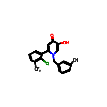 N#Cc1cccc(Cn2cc(O)c(=O)cc2-c2cccc(C(F)(F)F)c2Cl)c1